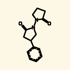 O=C1CCCN1N1CC(c2ccccc2)CC1=O